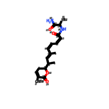 COC1=CCC(C(C)/C=C(C)/C=C\C=C/C(=O)NC(C(N)=O)C(C)(C)C)OC1=O